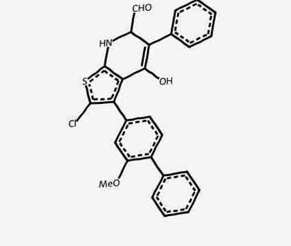 COc1cc(-c2c(Cl)sc3c2C(O)=C(c2ccccc2)C(C=O)N3)ccc1-c1ccccc1